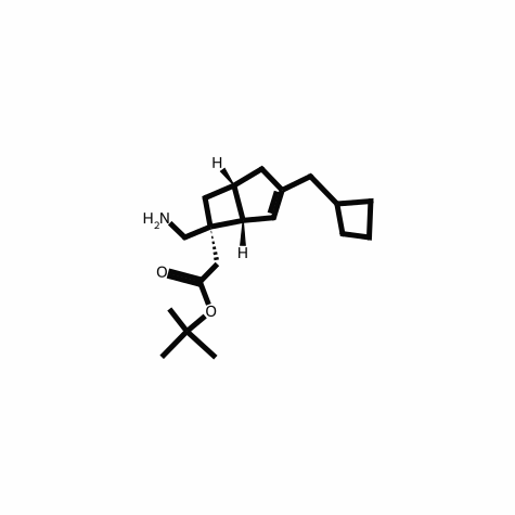 CC(C)(C)OC(=O)C[C@]1(CN)C[C@@H]2CC(CC3CCC3)=C[C@@H]21